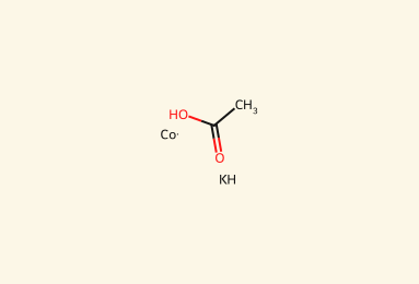 CC(=O)O.[Co].[KH]